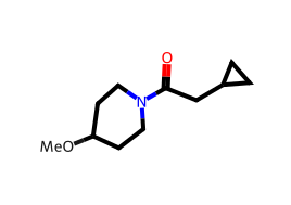 COC1CCN(C(=O)CC2CC2)CC1